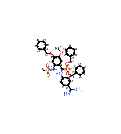 CCOc1cc(C(Nc2ccc(C(=N)N)cc2)P(=O)(OCc2ccccc2)OCc2ccccc2)c(NS(C)(=O)=O)cc1OCc1ccccc1